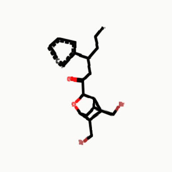 [CH2]CCC(CC(=O)[C]1OC2CC(CBr)C1CC2CBr)c1ccccc1